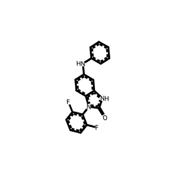 O=c1[nH]c2cc(Nc3ccccc3)ccc2n1-c1c(F)cccc1F